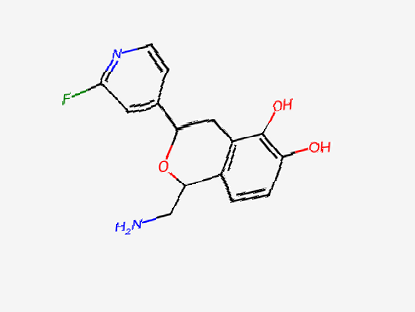 NCC1OC(c2ccnc(F)c2)Cc2c1ccc(O)c2O